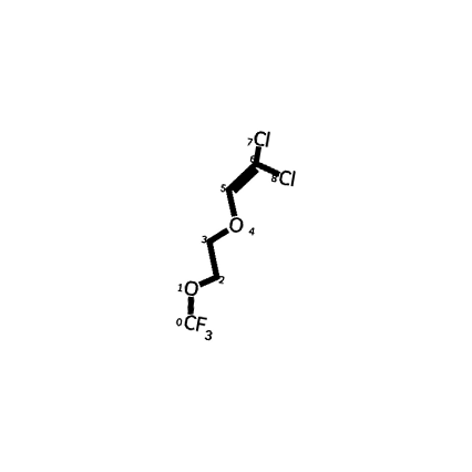 FC(F)(F)OCCOC=C(Cl)Cl